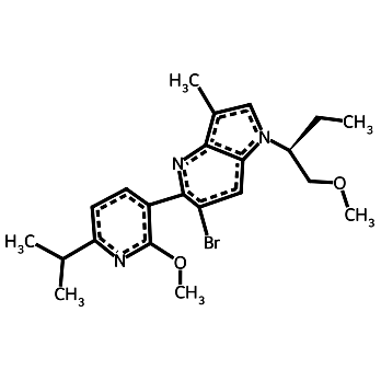 CC[C@@H](COC)n1cc(C)c2nc(-c3ccc(C(C)C)nc3OC)c(Br)cc21